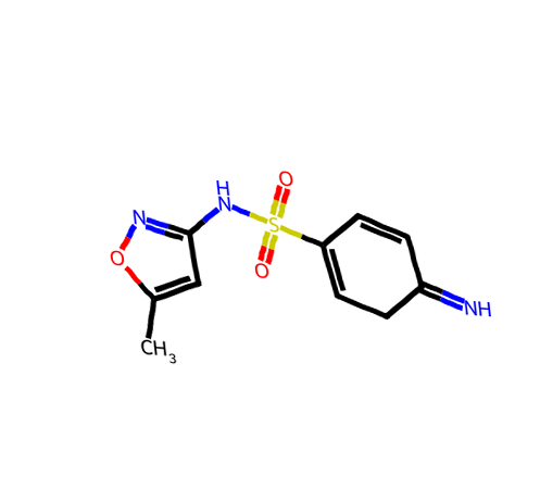 Cc1cc(NS(=O)(=O)C2=CCC(=N)C=C2)no1